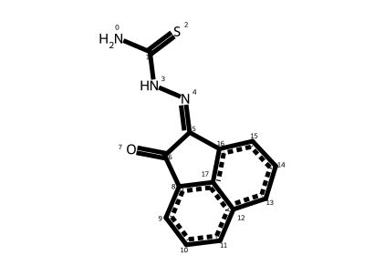 NC(=S)N/N=C1\C(=O)c2cccc3cccc1c23